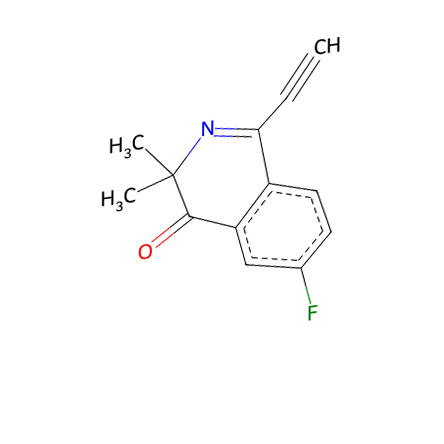 C#CC1=NC(C)(C)C(=O)c2cc(F)ccc21